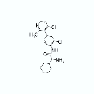 Cc1nccc(Cl)c1-c1ccc(NC(=O)[C@@H](N)C2CCCCC2)c(Cl)c1